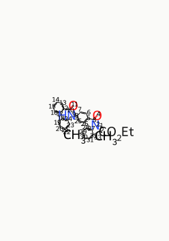 CCOC(=O)CN(C(=O)c1ccc(NC(=O)c2ccccc2-c2ccc(C)cc2)cc1)c1ccccc1C